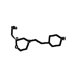 CC(C)(C)C[C@@H]1CN(CCC2CCNCC2)CCO1